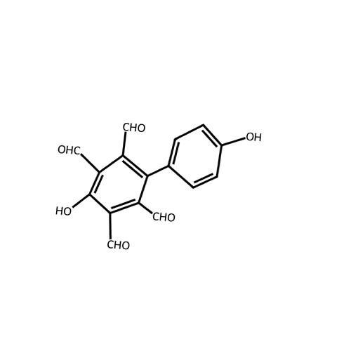 O=Cc1c(O)c(C=O)c(C=O)c(-c2ccc(O)cc2)c1C=O